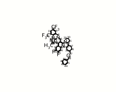 Cn1nnc(N(Cc2cc(C(F)(F)F)cc(C(F)(F)F)c2)Cc2cc3cc(F)c(F)cc3nc2N2CCCC2C2CCC(COCc3ccccc3)CC2)n1